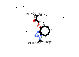 CCCCCCCC(CCCCCCC)n1nnc2c1CCCCCC2OCC(=O)C(CCCCCC)CCCCCC